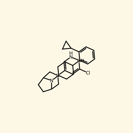 ClC1=CC(N2CC3CCC(C2)N3C2CCC(c3ccccc3C3CC3)CC2)=CNN1